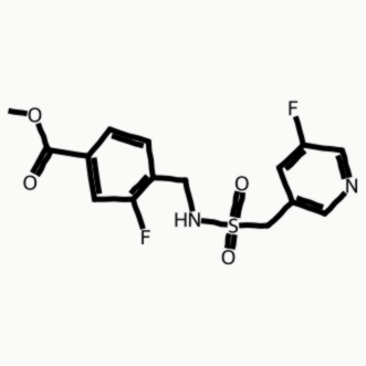 COC(=O)c1ccc(CNS(=O)(=O)Cc2cncc(F)c2)c(F)c1